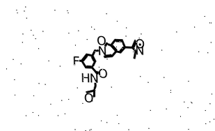 Cc1nocc1-c1ccc2c(=O)n(Cc3cc(F)cc(C(=O)NCC4COC4)c3)ccc2c1